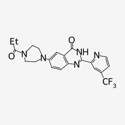 CCC(=O)N1CCN(c2ccc3nc(-c4cc(C(F)(F)F)ccn4)[nH]c(=O)c3c2)CC1